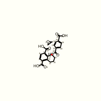 C1CO1.O=C(O)c1ccc(C(=O)O)c2c1CCCC2.O=C(O)c1ccc(C(=O)O)cc1